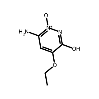 CCOc1cc(N)[n+]([O-])nc1O